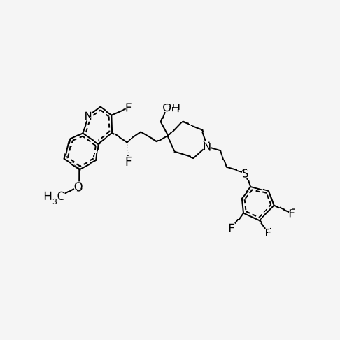 COc1ccc2ncc(F)c([C@@H](F)CCC3(CO)CCN(CCSc4cc(F)c(F)c(F)c4)CC3)c2c1